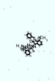 COc1cccc2c1N(Cc1ccccc1)C(=O)C2=NNC(=S)Nc1ccccc1S(N)(=O)=O